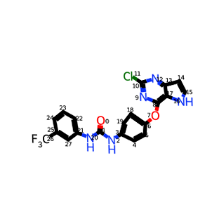 O=C(Nc1ccc(Oc2nc(Cl)nc3cc[nH]c23)cc1)Nc1cccc(C(F)(F)F)c1